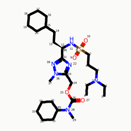 CCN(CC)CCCS(=O)(=O)N[C@H](CCC1CCCCC1)c1nc(COC(=O)N(C)C2CCCCC2)n(C)n1